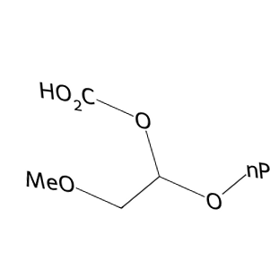 CCCOC(COC)OC(=O)O